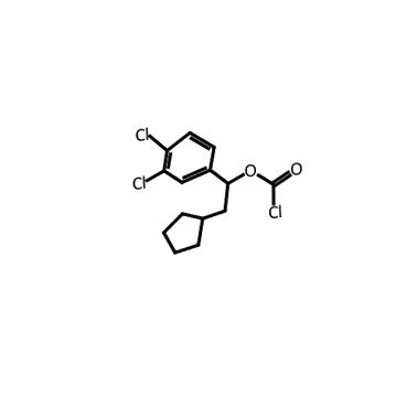 O=C(Cl)OC(CC1CCCC1)c1ccc(Cl)c(Cl)c1